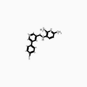 Cc1ccc(NCc2cncc(-c3ccc(F)cc3)c2)c(N)n1